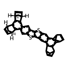 C1=CC2CC1c1c3c(c4cc5c(cc4c12)sc1c2cc4c6c(c7c(c4cc2sc51)[C@@H]1C=C[C@H]7C1)[C@@H]1C=C[C@H]6C1)C1C=CC3C1